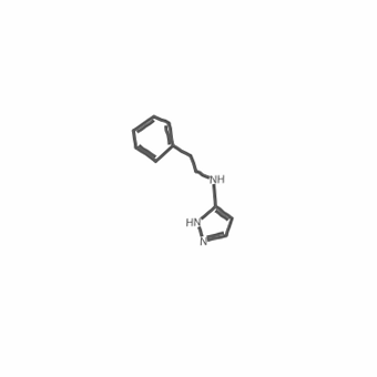 c1ccc(CCNc2ccn[nH]2)cc1